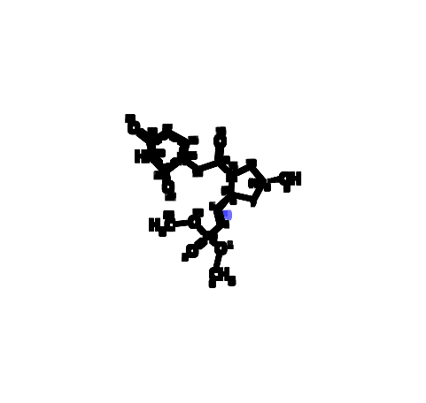 COP(=O)(/C=C/[C@@H]1C[C@@H](O)CN1C(=O)Cn1ccc(=O)[nH]c1=O)OC